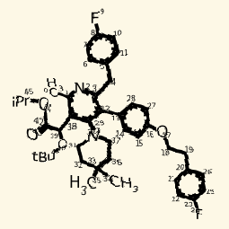 Cc1nc(Cc2ccc(F)cc2)c(-c2ccc(OCCc3ccc(F)cc3)cc2)c(N2CCC(C)(C)CC2)c1C(OC(C)(C)C)C(=O)OC(C)C